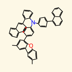 Cc1ccc2oc3c(-c4ccc(N(c5ccc(-c6cccc7ccccc67)cc5)c5ccccc5-c5ccc6ccccc6c5)cc4)cc(C)cc3c2c1